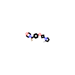 C[C@H]1CCCN1C1CC(Oc2ccc(C(=S)N3CCOCC3)cc2)C1